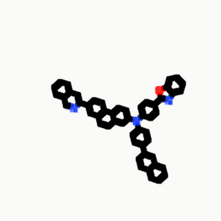 c1ccc2cc(-c3ccc(N(c4ccc(-c5nc6ccccc6o5)cc4)c4ccc5c(ccc6cc(-c7cc8ccccc8cn7)ccc65)c4)cc3)ccc2c1